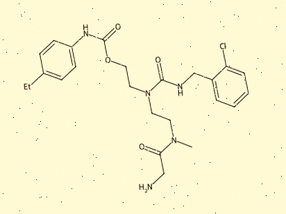 CCc1ccc(NC(=O)OCCN(CCN(C)C(=O)CN)C(=O)NCc2ccccc2Cl)cc1